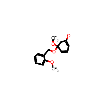 [O]C1=CC=CC(OCc2ccccc2OC(F)(F)F)(OC(F)(F)F)C1